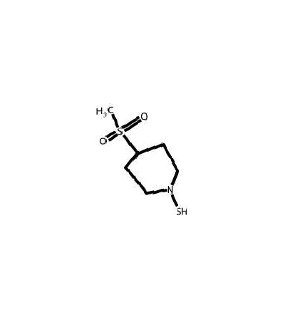 CS(=O)(=O)C1CCN(S)CC1